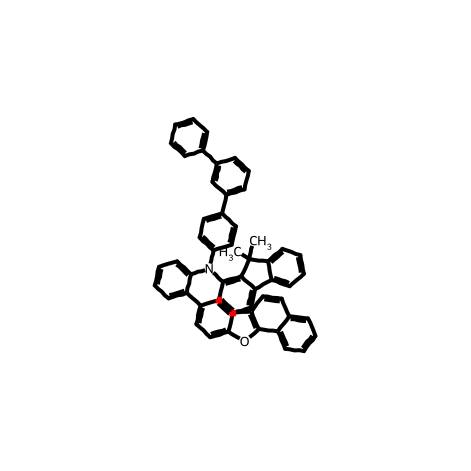 CC1(C)c2ccccc2-c2cccc(N(c3ccc(-c4cccc(-c5ccccc5)c4)cc3)c3ccccc3-c3ccc4oc5c6ccccc6ccc5c4c3)c21